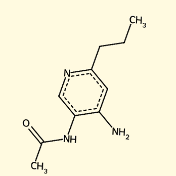 CCCc1cc(N)c(NC(C)=O)cn1